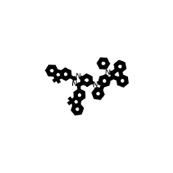 CC1(C)c2ccccc2-c2ccc(-c3nc(-c4ccc5c(c4)C(C)(C)c4ccccc4-5)c4cc(-n5c6ccccc6c6cc7c8c9ccccc9c9ccccc9c8n(-c8ccccc8)c7cc65)ccc4n3)cc21